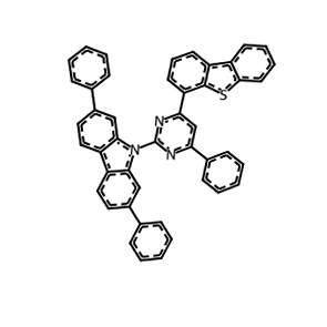 c1ccc(-c2ccc3c4ccc(-c5ccccc5)cc4n(-c4nc(-c5ccccc5)cc(-c5cccc6c5sc5ccccc56)n4)c3c2)cc1